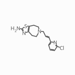 Nc1nc2c(s1)CCN(CC=Cc1cccc(Cl)n1)CC2